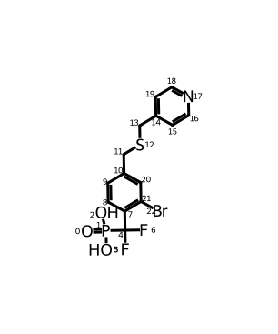 O=P(O)(O)C(F)(F)c1ccc(CSCc2ccncc2)cc1Br